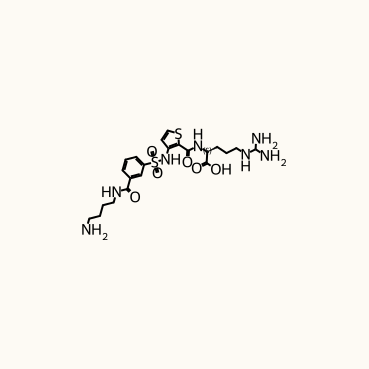 NCCCCNC(=O)c1cccc(S(=O)(=O)Nc2ccsc2C(=O)N[C@@H](CCCNC(N)N)C(=O)O)c1